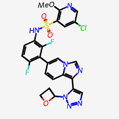 COc1ncc(Cl)cc1S(=O)(=O)Nc1ccc(F)c(-c2ccc3c(-c4cnnn4C4CCO4)ncn3c2)c1F